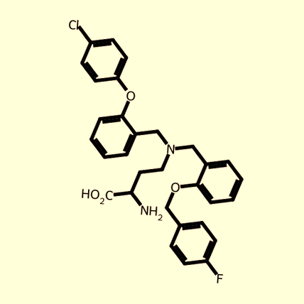 NC(CCN(Cc1ccccc1OCc1ccc(F)cc1)Cc1ccccc1Oc1ccc(Cl)cc1)C(=O)O